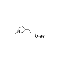 CC(C)OCCCC1CCN(C)C1